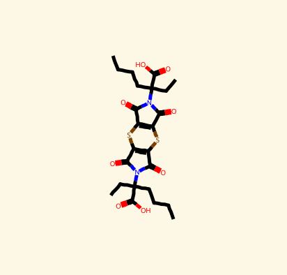 CCCCC(CC)(C(=O)O)n1c(=O)c2sc3c(=O)n(C(CC)(CCCC)C(=O)O)c(=O)c3sc2c1=O